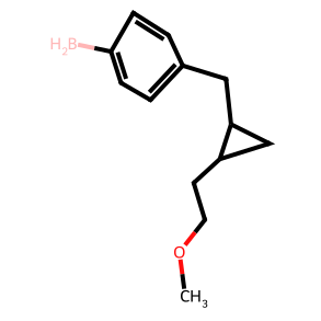 Bc1ccc(CC2CC2CCOC)cc1